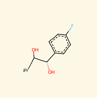 CC(C)C(O)[C@@H](O)c1ccc(F)cc1